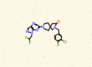 O=C1CC2(CCN(c3cnc4cnn(CC(F)F)c4n3)CC2)CN1Cc1ccc(F)c(Cl)c1